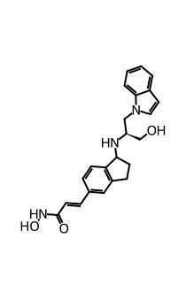 O=C(C=Cc1ccc2c(c1)CCC2N[C@H](CO)Cn1ccc2ccccc21)NO